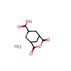 Cl.O=C(O)C1CC2CC(C1)C(=O)OC2=O